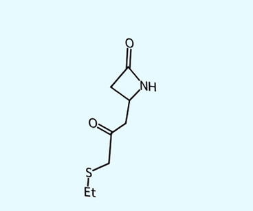 CCSCC(=O)CC1CC(=O)N1